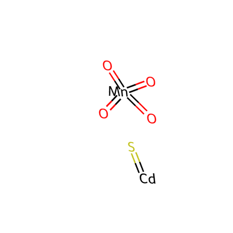 [O]=[Mn](=[O])(=[O])=[O].[S]=[Cd]